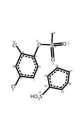 CS(=O)(=O)Oc1ccc(Cl)cc1Cl.O=S(=O)(O)c1ccccc1